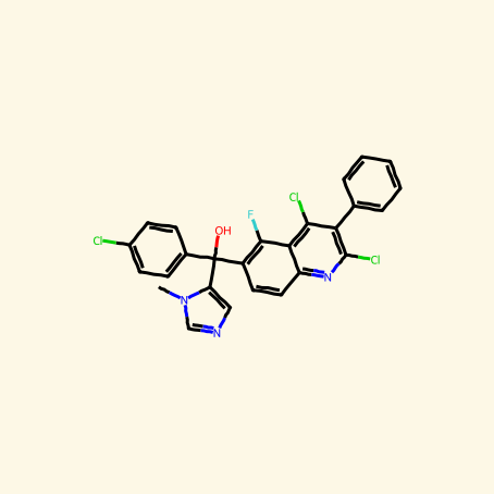 Cn1cncc1C(O)(c1ccc(Cl)cc1)c1ccc2nc(Cl)c(-c3ccccc3)c(Cl)c2c1F